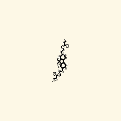 C=CC(=O)OCCc1ccc2c(c1)C(C)(C)c1cc(CCOC(=O)C=C)ccc1-2